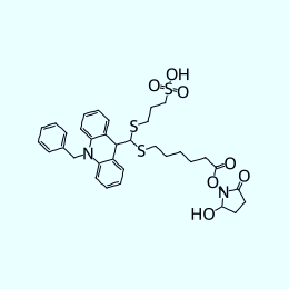 O=C(CCCCCSC(SCCCS(=O)(=O)O)C1c2ccccc2N(Cc2ccccc2)c2ccccc21)ON1C(=O)CCC1O